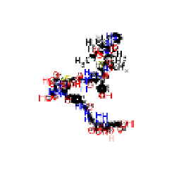 CCCC(=O)OCN(C(=O)[C@@H](NC(=O)[C@H]1CCCCN1C)C(C)CC)[C@H](C[C@@H](OC(C)=O)c1nc(C(=O)N[C@@H](Cc2ccc(O)cc2)C[C@H](C)C(=O)NNC(=O)OCCSSC[C@H](NC(=O)[C@H](CC(=O)O)NC(=O)[C@H](CC(=O)O)NC(=O)Cc2ccc(CNC(=O)NCCCC[C@H](NC(=O)N[C@@H](CCCC(=O)O)C(=O)O)C(=O)O)cc2)C(=O)O)cs1)C(C)C